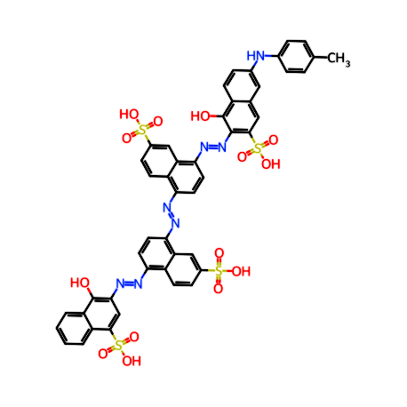 Cc1ccc(Nc2ccc3c(O)c(N=Nc4ccc(N=Nc5ccc(N=Nc6cc(S(=O)(=O)O)c7ccccc7c6O)c6ccc(S(=O)(=O)O)cc56)c5ccc(S(=O)(=O)O)cc45)c(S(=O)(=O)O)cc3c2)cc1